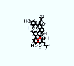 CC(C)=CCc1c(O)ccc(C(=O)C2C(c3c(O)ccc4c(=O)c(CC=C(C)C)c(-c5ccc(O)cc5O)oc34)C=C(C)CC2c2ccc(O)cc2O)c1O